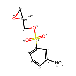 CC[C@@]1(COS(=O)(=O)c2cccc([N+](=O)[O-])c2)CO1